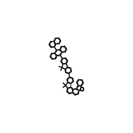 CC1(C)c2cc(-c3ccc4c(c3)C(C)(C)c3ccc5ccc6oc7ccccc7c6c5c3-4)ccc2-c2ccc(-c3c4ccccc4c(-c4cccc5ccccc45)c4ccccc34)cc21